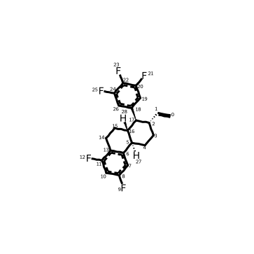 C=C[C@@H]1CC[C@H]2c3cc(F)cc(F)c3CC[C@@H]2[C@H]1c1cc(F)c(F)c(F)c1